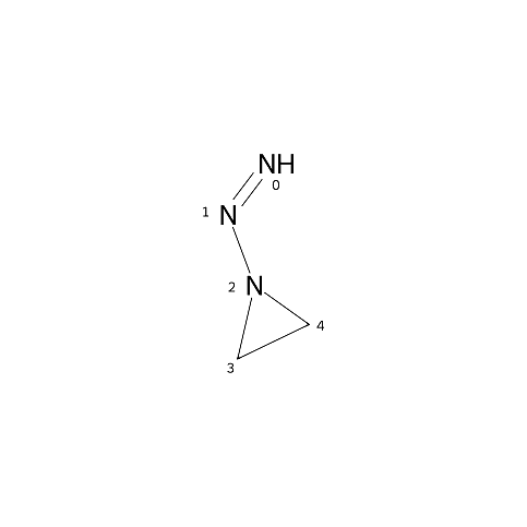 N=NN1CC1